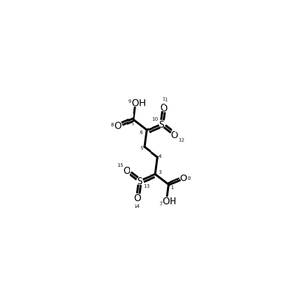 O=C(O)C(CCC(C(=O)O)=S(=O)=O)=S(=O)=O